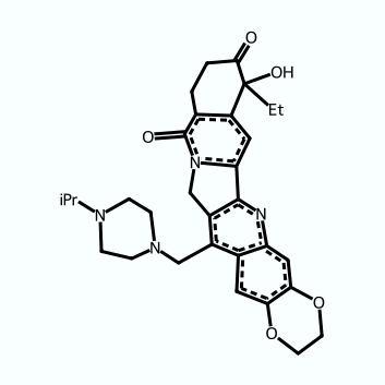 CCC1(O)C(=O)CCc2c1cc1n(c2=O)Cc2c-1nc1cc3c(cc1c2CN1CCN(C(C)C)CC1)OCCO3